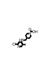 O=C(O)N1CCC(CNc2cc(Cl)ncc2I)CC1